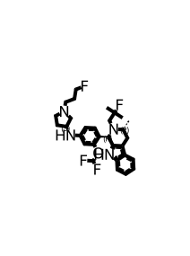 C[C@@H]1Cc2c([nH]c3ccccc23)[C@@H](c2ccc(N[C@H]3CCN(CCCF)C3)cc2OC(F)F)N1CC(C)(C)F